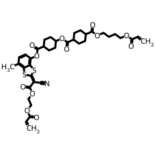 C=CC(=O)OCCCCOC(=O)C1CCC(C(=O)OC2CCC(C(=O)Oc3ccc(C)c4c3S/C(=C(\C#N)C(=O)OCCOC(=O)C=C)S4)CC2)CC1